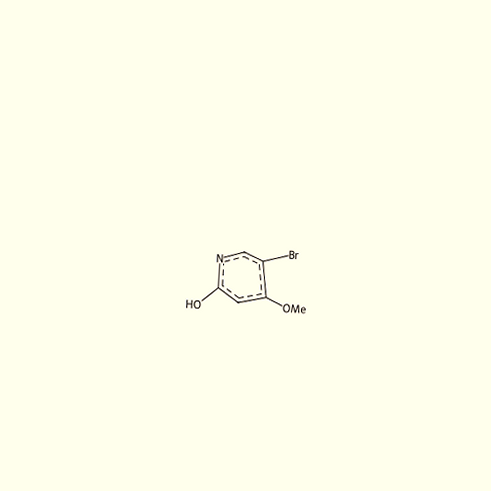 COc1cc(O)ncc1Br